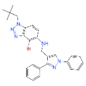 CC(C)(C)Cn1nnc2c(Br)c(NCc3cn(-c4ccccc4)nc3-c3ccccc3)ccc21